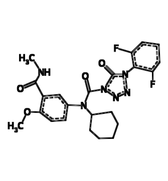 CNC(=O)c1cc(N(C(=O)n2nnn(-c3c(F)cccc3F)c2=O)C2CCCCC2)ccc1OC